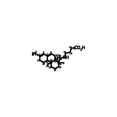 CC(C)C1=CC2=CC[C@H]3[C@](C)(C(=O)NCCCC(=O)O)CCC[C@]3(C)C2CC1